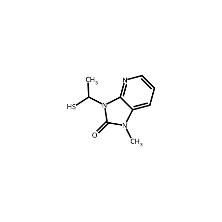 CC(S)n1c(=O)n(C)c2cccnc21